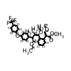 CCON=C(C(C)=C(ON)c1ccccc1C(=COC)C(=O)OC)c1ccc(Oc2ccc(C(F)(F)F)cc2)cc1